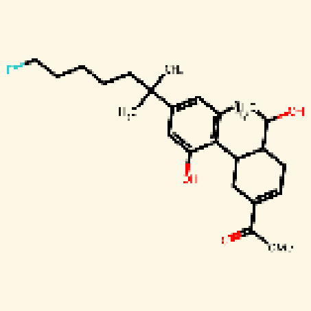 COC(=O)C1=CCC(C(C)O)C(c2c(C)cc(C(C)(C)CCCCCF)cc2O)C1